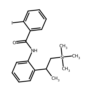 CC(C[Si](C)(C)C)c1ccccc1NC(=O)c1ccccc1I